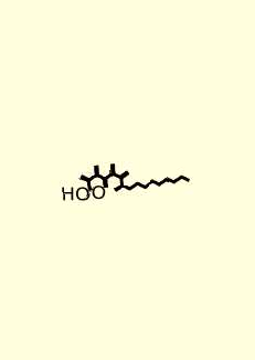 C=C(CCCCCCCCC)C(=C)C(=C)C(=C)C(=C)C(=C)C(=O)O